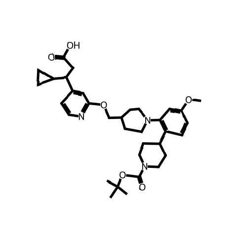 COc1ccc(C2CCN(C(=O)OC(C)(C)C)CC2)c(N2CCC(COc3cc(C(CC(=O)O)C4CC4)ccn3)CC2)c1